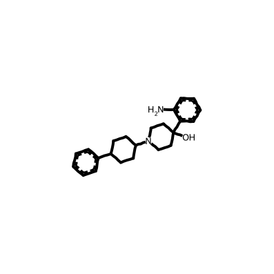 Nc1ccccc1C1(O)CCN(C2CCC(c3ccccc3)CC2)CC1